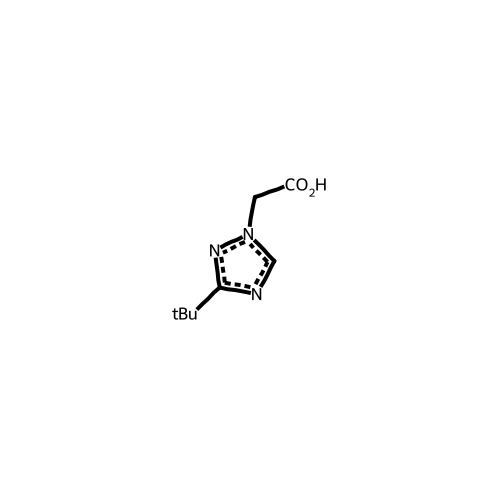 CC(C)(C)c1ncn(CC(=O)O)n1